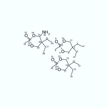 CCC1(CC)COP(C)(=O)OC1.CCC1(CC)COP(C)(=O)OC1.CCC1(CC)COP(C)(=O)OC1N